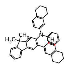 Cc1cc2c(cc1-c1cc3c(cc1N(c1ccccc1)c1ccc4c(c1)CCCC4)C(C)(C)c1ccccc1-3)CCCC2